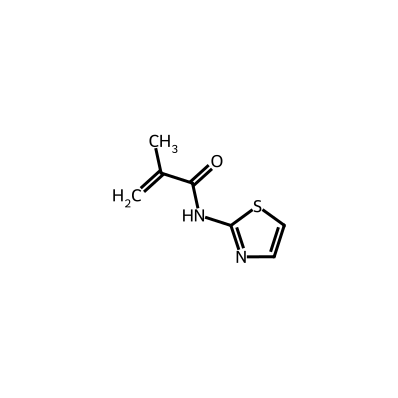 C=C(C)C(=O)Nc1nccs1